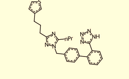 CCCc1nc(CCCc2ccsc2)nn1Cc1ccc(-c2ccccc2-c2nnn[nH]2)cc1